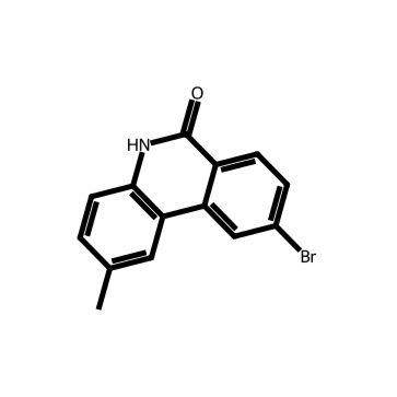 Cc1ccc2[nH]c(=O)c3ccc(Br)cc3c2c1